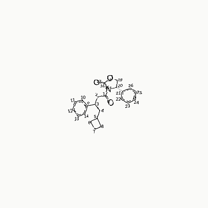 O=C(CC(CC1CCC1)c1ccccc1)N1C(=O)OC[C@@H]1c1ccccc1